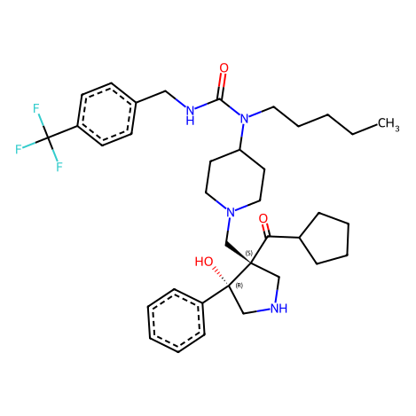 CCCCCN(C(=O)NCc1ccc(C(F)(F)F)cc1)C1CCN(C[C@@]2(C(=O)C3CCCC3)CNC[C@@]2(O)c2ccccc2)CC1